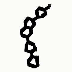 Fc1ccc(-c2ccc3ccc(-c4ccc(-c5ccccn5)nc4)cc3c2)cc1